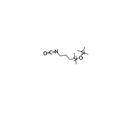 C[Si](C)(C)O[Si](C)(C)CCCN=C=O